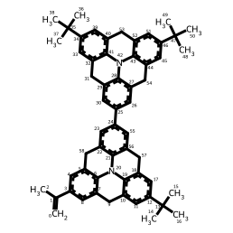 C=C(C)c1cc2c3c(c1)Cc1cc(C(C)(C)C)cc4c1N3c1c(cc(-c3cc5c6c(c3)Cc3cc(C(C)(C)C)cc7c3N6c3c(cc(C(C)(C)C)cc3C7)C5)cc1C4)C2